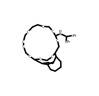 CCCC(BC1CCCCCCCCCCCC2CCCC(CC1)C1CCCCC3C2CCCC13)CCC